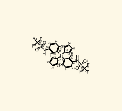 O=S(=O)(Nc1ccc(F)[c]([Ti]([c]2c(F)ccc(NS(=O)(=O)C(F)(F)F)c2F)([CH]2C=CC=C2)[CH]2C=CC=C2)c1F)C(F)(F)F